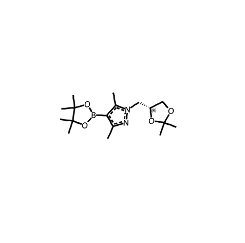 Cc1nn(C[C@@H]2COC(C)(C)O2)c(C)c1B1OC(C)(C)C(C)(C)O1